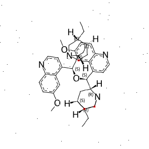 CC[C@H]1CN2CC[C@H]1C[C@@H]2[C@@H](O[C@@H](c1ccnc2ccc(OC)cc12)[C@H]1C[C@@H]2CCN1C[C@@H]2CC)c1ccnc2ccc(OC)cc12